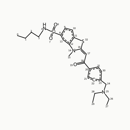 CCCCNS(=O)(=O)c1ccc2c(c1)N(C)/C(=C\C(=O)c1ccc(CN(CC)CC)cc1)S2